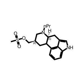 CCCN1C[C@H](COS(C)(=O)=O)CC2c3cccc4[nH]cc(c34)C[C@@H]21